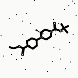 CCOC(=O)C1CCC(N2CCN(C(=O)OC(C)(C)C)C[C@H]2C)CC1